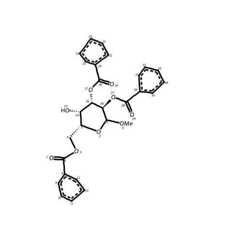 COC1O[C@H](COC(=O)c2ccccc2)[C@H](O)[C@H](OC(=O)c2ccccc2)[C@H]1OC(=O)c1ccccc1